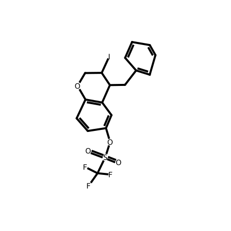 O=S(=O)(Oc1ccc2c(c1)C(Cc1ccccc1)C(I)CO2)C(F)(F)F